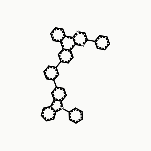 c1ccc(-c2cnc3c4ccccc4c4cc(-c5cccc(-c6ccc7c(c6)c6ccccc6n7-c6ccccc6)c5)ccc4c3n2)cc1